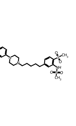 CS(=O)(=O)Nc1cc(CCCCCN2CCN(c3ccccc3)CC2)ccc1S(C)(=O)=O